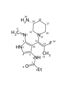 C=Nc1[nH]cc(NC(=O)CC)c1/C(=C(\C)F)N1CCC[C@@H](N)C1